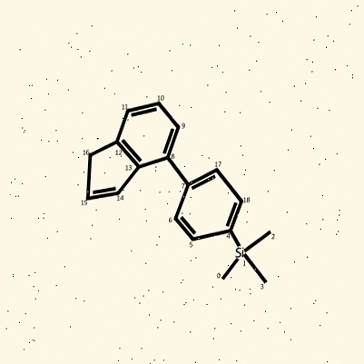 C[Si](C)(C)c1ccc(-c2cccc3c2C=CC3)cc1